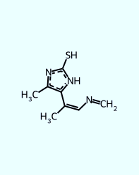 C=N/C=C(/C)c1[nH]c(S)nc1C